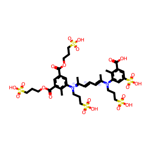 C\C(=C/C=C/C(C)=[N+](\CCCS(=O)(=O)O)c1cc(C(=O)OCCCS(=O)(=O)O)cc(C(=O)OCCCS(=O)(=O)O)c1C)N(CCCS(=O)(=O)O)c1cc(S(=O)(=O)O)cc(C(=O)O)c1C